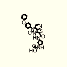 O=C(O)N[C@@H]1CC[C@H](NC(=O)c2sc3nccc4c3c2NC(=O)N4c2ccc(Oc3ccccc3)cc2)C1